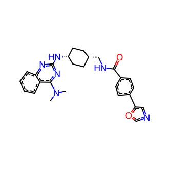 CN(C)c1nc(N[C@H]2CC[C@@H](CNC(=O)c3ccc(-c4cnco4)cc3)CC2)nc2ccccc12